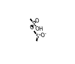 CS(=O)(=O)O.C[S+](C)[O-]